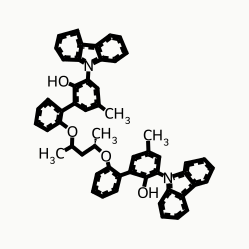 Cc1cc(-c2ccccc2OC(C)C[C@H](C)Oc2ccccc2-c2cc(C)cc(-n3c4ccccc4c4ccccc43)c2O)c(O)c(-n2c3ccccc3c3ccccc32)c1